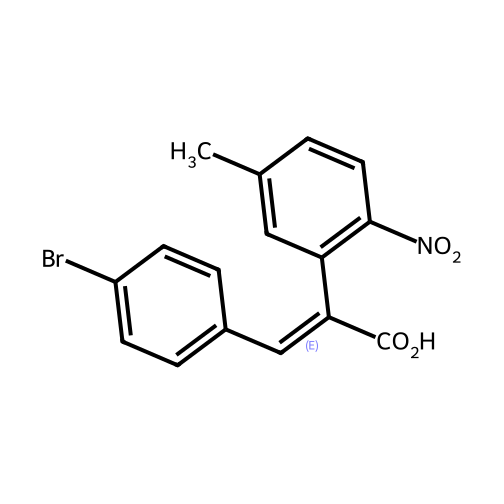 Cc1ccc([N+](=O)[O-])c(/C(=C\c2ccc(Br)cc2)C(=O)O)c1